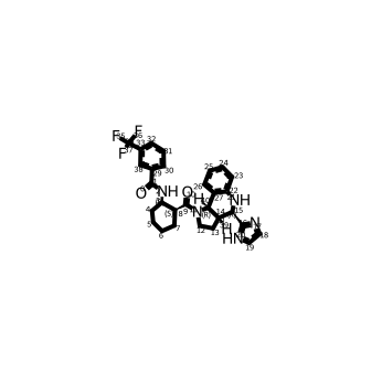 O=C(N[C@@H]1CCCC[C@@H]1C(=O)N1CC[C@H]2[C@H](c3ncc[nH]3)Nc3ccccc3[C@@H]21)c1cccc(C(F)(F)F)c1